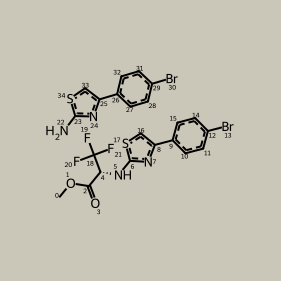 COC(=O)[C@@H](Nc1nc(-c2ccc(Br)cc2)cs1)C(F)(F)F.Nc1nc(-c2ccc(Br)cc2)cs1